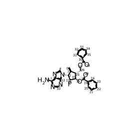 C=C1[C@@H](n2cnc3c(N)ncnc32)[C@@H](F)[C@H](OC(=O)c2ccccc2)[C@H]1COC(=O)c1ccccc1